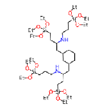 CCO[Si](CCCNC(CC[Si](OCC)(OCC)OCC)CC1CCCC(CC(CC[Si](OCC)(OCC)OCC)NCCC[Si](OCC)(OCC)OCC)C1)(OCC)OCC